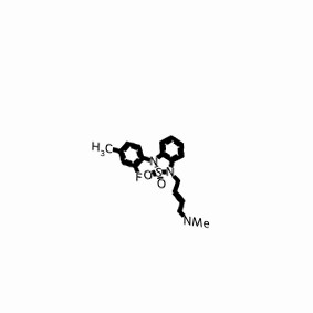 CNCC=CCN1c2ccccc2N(c2ccc(C)cc2F)S1(=O)=O